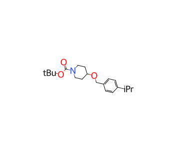 CC(C)c1ccc(COC2CCN(C(=O)OC(C)(C)C)CC2)cc1